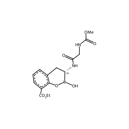 CCOC(=O)c1cccc2c1OB(O)[C@@H](NC(=O)CNC(=O)OC)C2